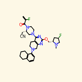 C=C(F)C(=O)N1CCN(c2nc(OC[C@@H]3C[C@@H](F)CN3C)nc3c2CCN(c2cccc4c2CCCC4)C3)C[C@@H]1CC#N